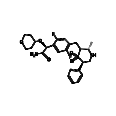 C[C@@H]1NC[C@@H](c2ccccc2)S(=O)(=O)C1Cc1cc(F)c([C@H](OC2CCOCC2)C(N)=O)cc1F